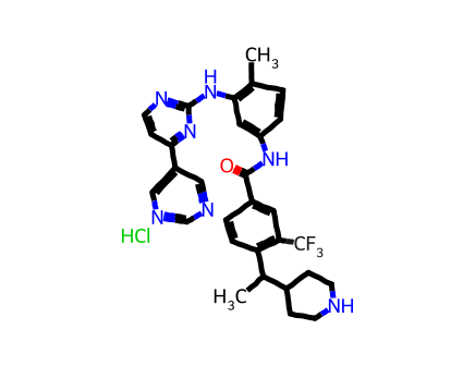 Cc1ccc(NC(=O)c2ccc(C(C)C3CCNCC3)c(C(F)(F)F)c2)cc1Nc1nccc(-c2cncnc2)n1.Cl